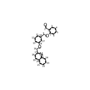 O=Cc1ccccc1OCc1cccc(OCc2ccc3ccccc3n2)c1